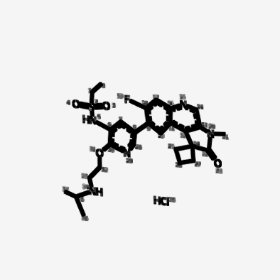 CCS(=O)(=O)Nc1cc(-c2cc3c4c(cnc3cc2F)N(C)C(=O)C42CCC2)cnc1OCCNC(C)C.Cl